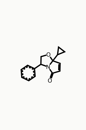 O=C1C=CC2(C3CC3)OCC(c3ccccc3)N12